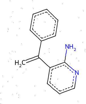 C=C(c1ccccc1)c1cccnc1N